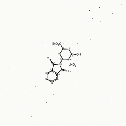 CCOC(=O)C1=C[C@@H](O)[C@H]([N+](=O)[O-])[C@@H](N2C(=O)c3ccccc3C2=O)C1